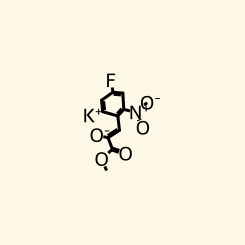 COC(=O)C([O-])=Cc1ccc(F)cc1[N+](=O)[O-].[K+]